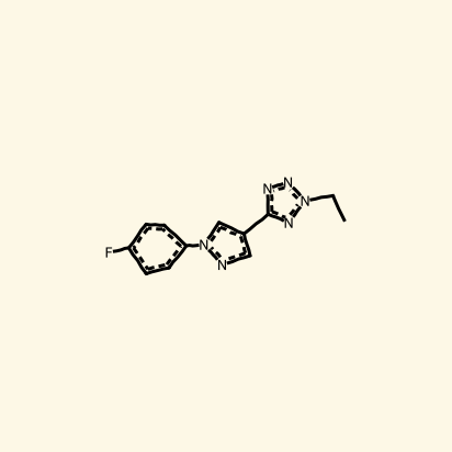 CCn1nnc(-c2cnn(-c3ccc(F)cc3)c2)n1